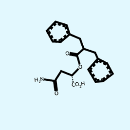 NC(=O)C[C@H](OC(=O)C(Cc1ccccc1)Cc1ccccc1)C(=O)O